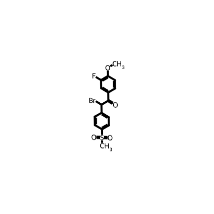 COc1ccc(C(=O)C(Br)c2ccc(S(C)(=O)=O)cc2)cc1F